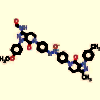 COc1ccc(-n2nc(NC=O)c3c2C(=O)N(c2ccc(/N=[N+](\[O-])c4ccc(N5CCc6c(C)nn(-c7ccc(C)cc7)c6C5=O)cc4)cc2)CC3)cc1